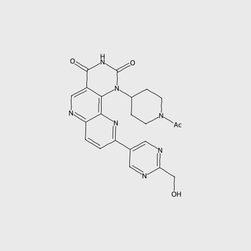 CC(=O)N1CCC(n2c(=O)[nH]c(=O)c3cnc4ccc(-c5cnc(CO)nc5)nc4c32)CC1